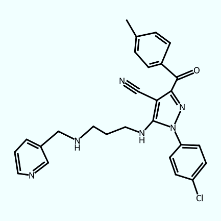 Cc1ccc(C(=O)c2nn(-c3ccc(Cl)cc3)c(NCCCNCc3cccnc3)c2C#N)cc1